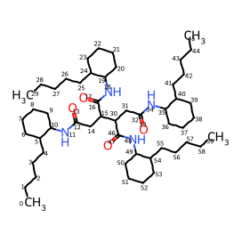 CCCCCC1CCCCC1NC(=O)CC(C(=O)NC1CCCCC1CCCCC)C(CC(=O)NC1CCCCC1CCCCC)C(=O)NC1CCCCC1CCCCC